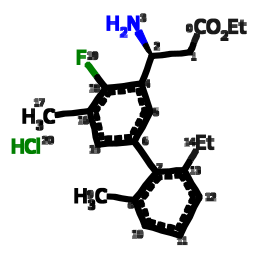 CCOC(=O)C[C@H](N)c1cc(-c2c(C)cccc2CC)cc(C)c1F.Cl